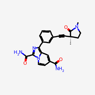 CN1CC[C@@](C)(C#Cc2cccc(-c3nc(C(N)=O)n4ccc(C(N)=O)cc34)c2)C1=O